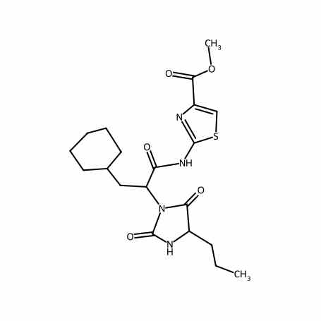 CCCC1NC(=O)N(C(CC2CCCCC2)C(=O)Nc2nc(C(=O)OC)cs2)C1=O